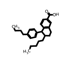 CCCCCC1CCc2cc(C(=O)O)ccc2C1c1ccc(CCCC)cc1